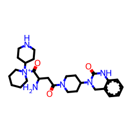 NC(CC(=O)N1CCC(N2Cc3ccccc3NC2=O)CC1)C(=O)[N+]1(C2CCNCC2)CCCCC1